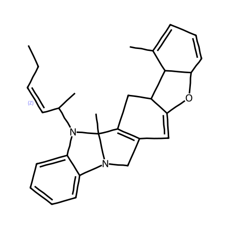 CC/C=C\C(C)N1c2ccccc2N2CC3=C(CC4C(=C3)OC3C=CC=C(C)C34)C21C